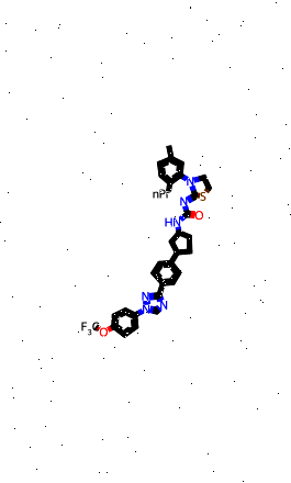 CCCc1ccc(C)cc1N1CCS/C1=N\C(=O)NC1CCC(c2ccc(-c3ncn(-c4ccc(OC(F)(F)F)cc4)n3)cc2)C1